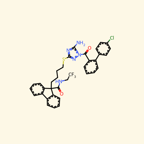 Nc1nc(SCCCCC2(C(=O)NCC(F)(F)F)c3ccccc3-c3ccccc32)nn1C(=O)c1ccccc1-c1ccc(Cl)cc1